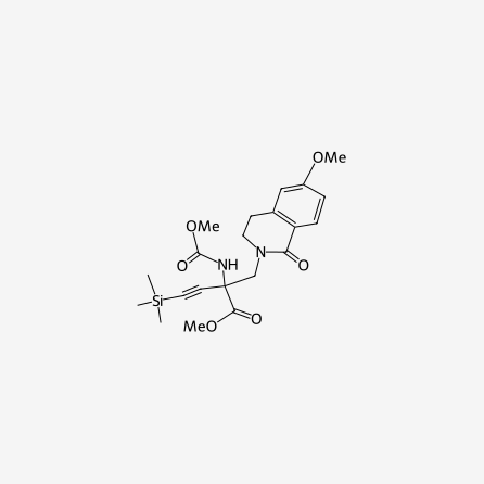 COC(=O)NC(C#C[Si](C)(C)C)(CN1CCc2cc(OC)ccc2C1=O)C(=O)OC